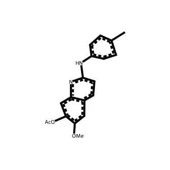 COc1cc2ccc(Nc3ccc(C)cc3)nc2cc1OC(C)=O